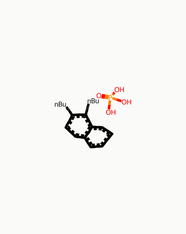 CCCCc1ccc2ccccc2c1CCCC.O=P(O)(O)O